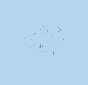 CC(C)C(c1oc2cccc(C#N)c2c(=O)c1Cc1ccccc1)N(CCCN)C(=O)c1ccc2c(c1)OCO2